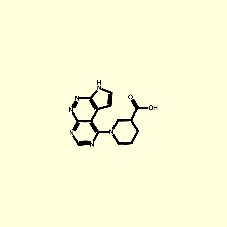 O=C(O)C1CCCN(c2ncnc3nnc4[nH]ccc4c23)C1